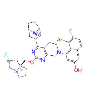 Oc1cc(N2CCc3c(nc(OC[C@@]45CCCN4C[C@H](F)C5)nc3C3CC4CCC(C3)N4)C2)c2c(Br)c(F)ccc2c1